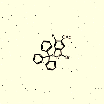 CC(=O)Oc1cc2c(Br)nn(C(c3ccccc3)(c3ccccc3)c3ccccc3)c2cc1F